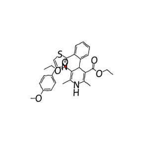 CCOC(=O)C1=C(C)NC(C)=C(C(=O)OCC)C1c1ccccc1-c1nc(-c2ccc(OC)cc2)cs1